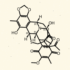 COC1=C(C)C(=O)C2=C(C1=O)C1[C@@H]3[C@@H]4SCC(NC(C)=O)C(=O)OC[C@@H](c5c6c(c(C)c(O)c54)OCO6)N3[C@@H](O)C(C2)N1C